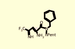 CCCCCN(Cc1ccccc1)C(=O)/C(N)=C/C(=N)C(F)(F)F